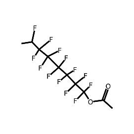 CC(=O)OC(F)(F)C(F)(F)C(F)(F)C(F)(F)C(F)(F)C(F)(F)C(C)F